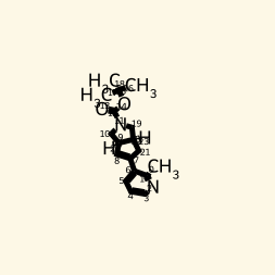 Cc1ncccc1C1=C[C@H]2CN(C(=O)OC(C)(C)C)C[C@H]2C1